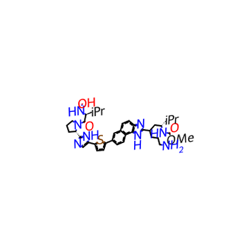 COC(=O)N[C@H](CC(CCCN)c1nc2ccc3cc(-c4ccc(-c5cnc([C@@H]6CCCN6C(=O)[C@@H](NO)C(C)C)[nH]5)s4)ccc3c2[nH]1)C(C)C